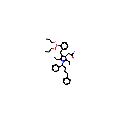 CCCOP(OCCC)c1ccccc1Cc1c(CC(N)=O)c(CC)n(C(CCCc2ccccc2)c2ccccc2)c1CC